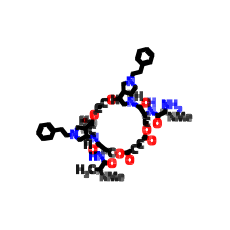 CN[C@@H](C)C(=O)N[C@H]1COC(=O)CCC(=O)OC[C@H](NC(=O)[C@H](N)NC)C(=O)N2C[C@@H](OCCO[C@@H]3CN(C1=O)[C@@H]1CN(CCc4ccccc4)C[C@@H]13)C1CN(CCc3ccccc3)C[C@H]12